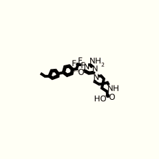 CCc1ccc(-c2ccc([C@@H](Oc3cc(N4CCC5(CC4)CNC(C(=O)O)C5)nc(N)n3)C(F)(F)F)cc2)cc1